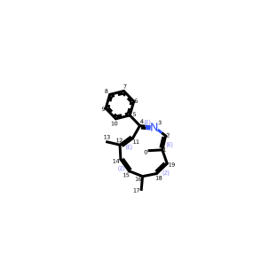 CC1=C\N=C(c2ccccc2)/C=C(C)/C=C\C(C)/C=C\1